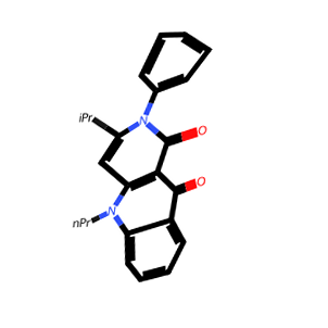 CCCn1c2ccccc2c(=O)c2c(=O)n(-c3ccccc3)c(C(C)C)cc21